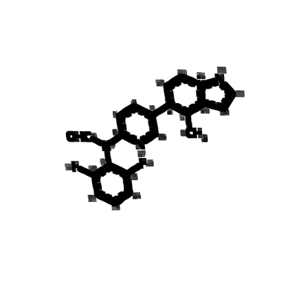 Cc1c(-c2ccc(N(C=O)c3c(F)cccc3F)nc2)ccn2nccc12